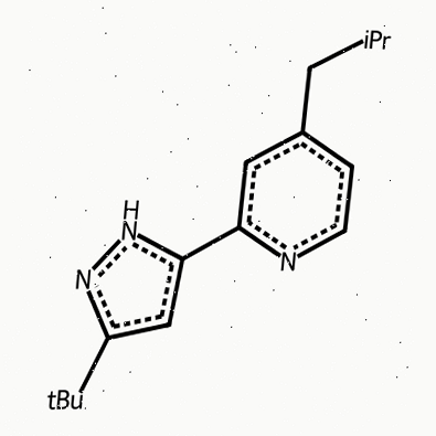 CC(C)Cc1ccnc(-c2cc(C(C)(C)C)n[nH]2)c1